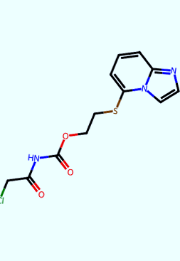 O=C(CCl)NC(=O)OCCSc1cccc2nccn12